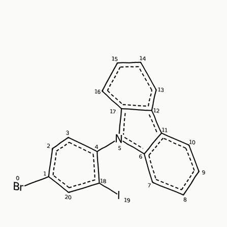 Brc1ccc(-n2c3ccccc3c3ccccc32)c(I)c1